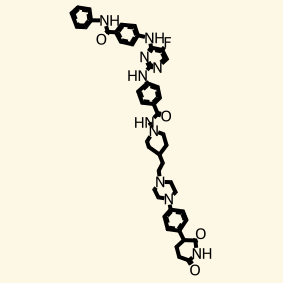 O=C1CCC(c2ccc(N3CCN(CCC4CCN(NC(=O)c5ccc(Nc6ncc(F)c(Nc7ccc(C(=O)Nc8ccccc8)cc7)n6)cc5)CC4)CC3)cc2)C(=O)N1